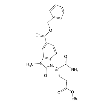 Cn1c(=O)n([C@@H](CCC(=O)OC(C)(C)C)C(N)=O)c2ccc(C(=O)OCc3ccccc3)cc21